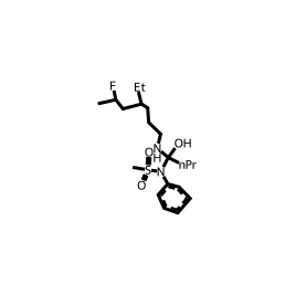 CCCC(O)(NCCCC(CC)CC(C)F)N(c1ccccc1)S(C)(=O)=O